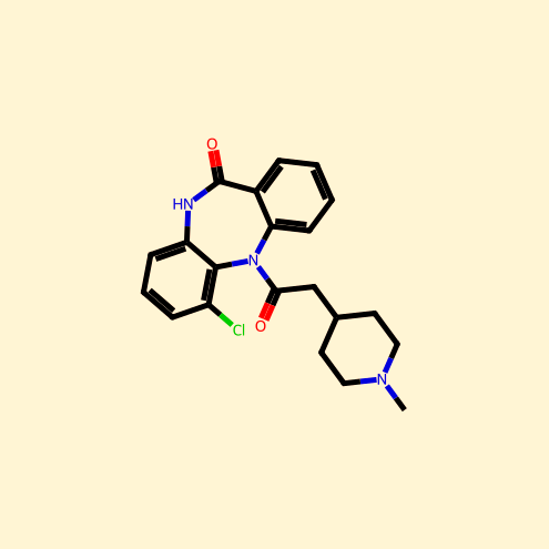 CN1CCC(CC(=O)N2c3ccccc3C(=O)Nc3cccc(Cl)c32)CC1